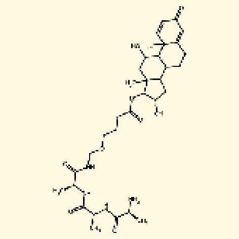 CC1CC2C3CCC4=CC(=O)C=CC4(C)C3C(O)CC2(C)C1OC(=O)CCCOCNC(=O)[C@H](C)NC(=O)[C@H](C)NC(=O)[C@H](C)N